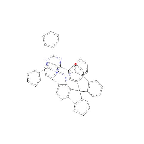 c1ccc(-c2nc(-c3ccccc3)nc(-c3ccc4c(c3)C3(c5ccccc5-4)c4ccccc4-c4ccc5c6ccccc6n(-c6ccccc6)c5c43)n2)cc1